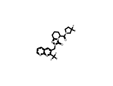 O=C(C1CCCc2nn(Cc3cc4cccnc4nc3C(F)(F)F)c(=O)n21)N1CCC(F)(F)C1